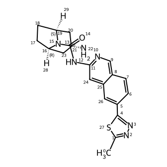 Cc1nnc(-c2ccc3cnc(NC(=O)N4[C@@H]5CC[C@H]4C[C@H](N)C5)cc3c2)s1